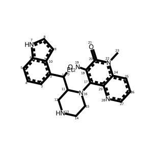 CCC(c1cccc2[nH]ccc12)C1CNCCN1c1c([N+](=O)[O-])c(=O)n(C)c2cccnc12